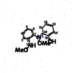 CONc1ccccc1/[N+](OC)=C1\CC=CC=C1O